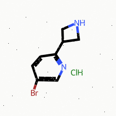 Brc1ccc(C2CNC2)nc1.Cl